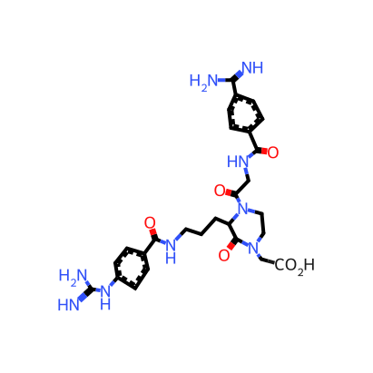 N=C(N)Nc1ccc(C(=O)NCCCC2C(=O)N(CC(=O)O)CCN2C(=O)CNC(=O)c2ccc(C(=N)N)cc2)cc1